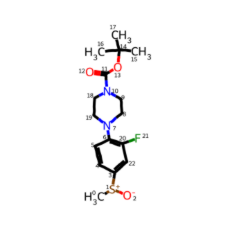 C[S+]([O-])c1ccc(N2CCN(C(=O)OC(C)(C)C)CC2)c(F)c1